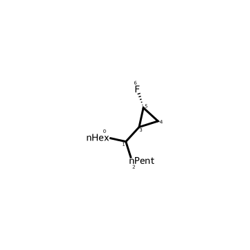 CCCCCCC(CCCCC)C1C[C@H]1F